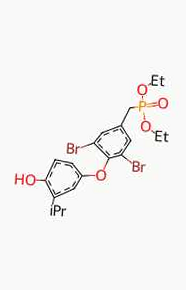 CCOP(=O)(Cc1cc(Br)c(Oc2ccc(O)c(C(C)C)c2)c(Br)c1)OCC